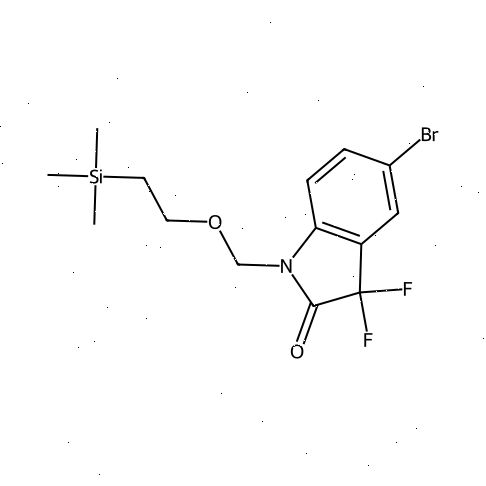 C[Si](C)(C)CCOCN1C(=O)C(F)(F)c2cc(Br)ccc21